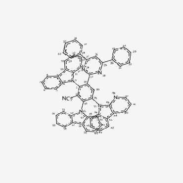 N#Cc1c(-n2c3ccccc3c3cccnc32)c(-c2nc(-c3ccccc3)cc(-c3ccccc3)n2)cc(-n2c3ccccc3c3cccnc32)c1-n1c2ccccc2c2cccnc21